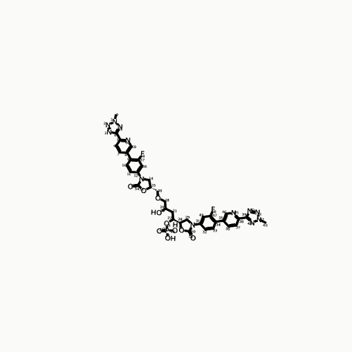 Cn1nnc(-c2ccc(-c3ccc(N4C[C@H](COCC(O)CC(OP(=O)(O)O)[C@H]5CN(c6ccc(-c7ccc(-c8nnn(C)n8)nc7)c(F)c6)C(=O)O5)OC4=O)cc3F)cn2)n1